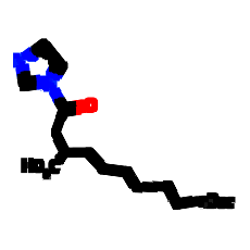 CCCCCCCCCCCCCCCCC(CC(=O)n1ccnc1)C(=O)O